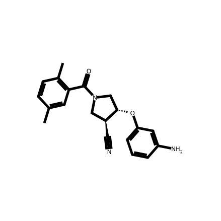 Cc1ccc(C)c(C(=O)N2C[C@H](Oc3cccc(N)c3)[C@@H](C#N)C2)c1